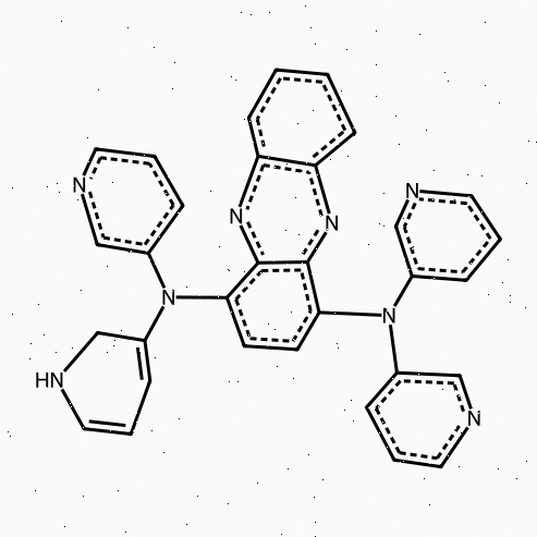 C1=CNCC(N(c2cccnc2)c2ccc(N(c3cccnc3)c3cccnc3)c3nc4ccccc4nc23)=C1